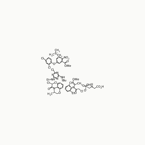 CC1COc2ccccc2N1C(=O)C(Cl)Cl.CCNc1nc(Cl)nc(NC(C)(C)C)n1.CCc1cccc(C)c1N(C(=O)CCl)C(C)COC.COC(=O)c1cc(Oc2ccc(Cl)cc2Cl)ccc1[N+](=O)[O-].C[S+](C)C.O=C(O)CNCP(=O)([O-])O